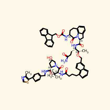 Cc1ncsc1-c1ccc(CNC(=O)[C@@H]2C[C@@H](O)CN2C(=O)[C@@H](NC(=O)CCCc2cccc3cc(CO[C@@H](C)[C@H](CCC(N)=O)NC(=O)[C@@H]4Cc5cccc6c5N4C(=O)[C@@H](NC(=O)OCC4c5ccccc5-c5ccccc54)CC6)ccc23)C(C)(C)C)cc1